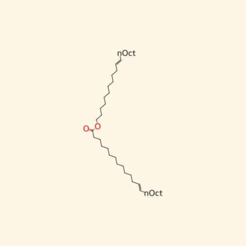 CCCCCCCCC=CCCCCCCCCCCCC(=O)OCCCCCCCCCCC=CCCCCCCCC